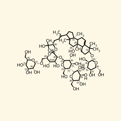 C[C@H](CC[C@@H](O[C@@H]1O[C@H](CO[C@H]2O[C@H](CO)[C@@H](O)[C@H](O)[C@H]2O)[C@@H](O)[C@H](O)[C@H]1O[C@@H]1O[C@H](CO)[C@@H](C2O[C@H](CO)[C@@H](O)[C@H](O)[C@H]2O)[C@H](O)[C@H]1O)C(C)(C)O)C1CC[C@@]2(C)C3CC=C4C(CC[C@H](O[C@@H]5O[C@H](CO)[C@@H](O)[C@H](O)[C@H]5O)C4(C)C)[C@]3(C)[C@H](O)C[C@]12C